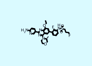 CCOc1cc(-c2cccc(NS(=O)(=O)CCCF)c2F)cc2c(N3CCOC[C@@H]3C)nc(-c3ccc(N)nc3)nc12